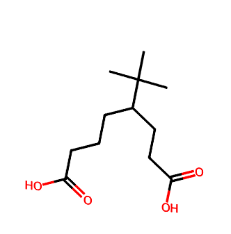 CC(C)(C)C(CCCC(=O)O)CCC(=O)O